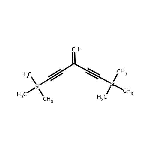 [CH]=C(C#C[Si](C)(C)C)C#C[Si](C)(C)C